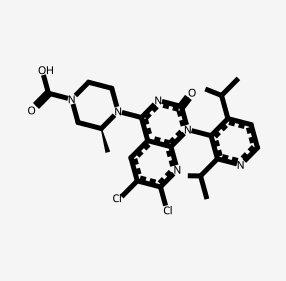 CC(C)c1ccnc(C(C)C)c1-n1c(=O)nc(N2CCN(C(=O)O)C[C@@H]2C)c2cc(Cl)c(Cl)nc21